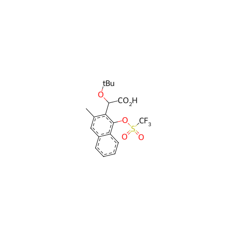 Cc1cc2ccccc2c(OS(=O)(=O)C(F)(F)F)c1C(OC(C)(C)C)C(=O)O